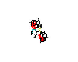 C[C@@H]1CC[C@H]2C(CSCC3=C(C(F)(F)F)O[C@@H]4O[C@]5(C)CCC6[C@H](C)CC[C@@H]3[C@]64OO5)=C(CF)O[C@@H]3O[C@]4(C)CCC1[C@]32OO4